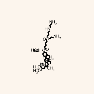 CC[C@H](CC[C@@H](C)[C@H]1CC[C@H]2[C@@H]3CC=C4C[C@@H](OC(=O)CCCCC(=O)N(CCCN)CCCCNCCCN)CC[C@]4(C)[C@H]3CC[C@]12C)C(C)C.Cl.Cl.Cl